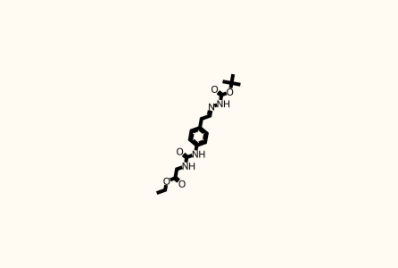 CCOC(=O)CNC(=O)Nc1ccc(CC=NNC(=O)OC(C)(C)C)cc1